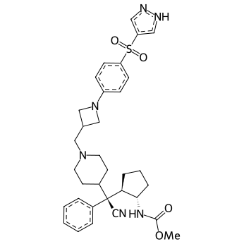 COC(=O)N[C@H]1CCC[C@@H]1[C@](C#N)(c1ccccc1)C1CCN(CC2CN(c3ccc(S(=O)(=O)c4cn[nH]c4)cc3)C2)CC1